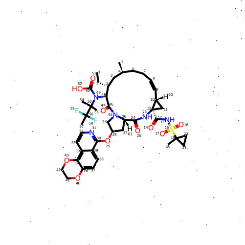 CC[C@@H]1C[C@@H](C)CCC=C[C@@H]2C[C@@]2(C(=O)NS(=O)(=O)C2(C)CC2)NC(=O)[C@@H]2C[C@@H](Oc3nccc4c5c(ccc34)OCCO5)CN2C(=O)[C@H]1N(C(=O)O)C(C)(C)C(C)(F)F